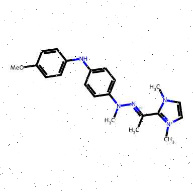 COc1ccc(Nc2ccc(N(C)/N=C(\C)c3n(C)cc[n+]3C)cc2)cc1